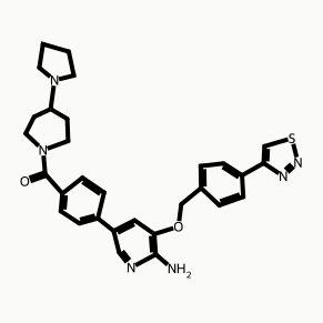 Nc1ncc(-c2ccc(C(=O)N3CCC(N4CCCC4)CC3)cc2)cc1OCc1ccc(-c2csnn2)cc1